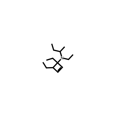 CCC(C)N(CC)C1(CC)C=CC1CC